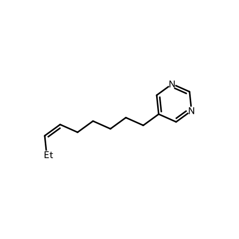 CC/C=C\CCCCCc1cncnc1